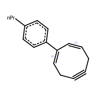 CCCc1ccc(C2=C/CC#CC/C=C\2)cc1